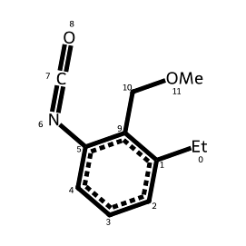 CCc1cccc(N=C=O)c1COC